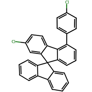 Clc1ccc(-c2cccc3c2-c2ccc(Cl)cc2C32c3ccccc3-c3ccccc32)cc1